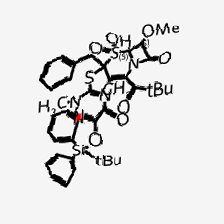 CO[C@H]1C(=O)N2C(C(=O)C(C)(C)C)=C(C)C(Cc3ccccc3)(Sc3nc(=O)c(O[Si](c4ccccc4)(c4ccccc4)C(C)(C)C)nn3C)S(=O)(=O)[C@@H]12